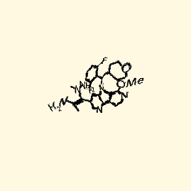 COc1nccc2c3ncc(/C(=C(\C)N)N(C)N)cc3n(C(c3c(F)cccc3F)C3CCOCC3)c12